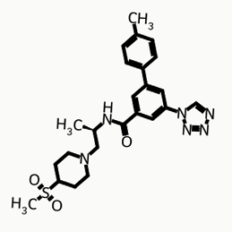 Cc1ccc(-c2cc(C(=O)N[C@H](C)CN3CCC(S(C)(=O)=O)CC3)cc(-n3cnnn3)c2)cc1